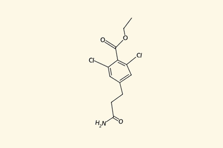 CCOC(=O)c1c(Cl)cc(CCC(N)=O)cc1Cl